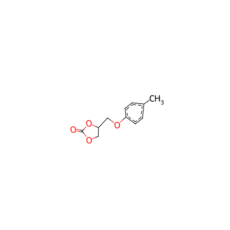 Cc1ccc(OCC2COC(=O)O2)cc1